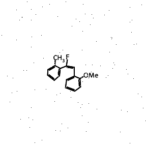 COc1ccccc1/C=C(/F)c1ccccc1C